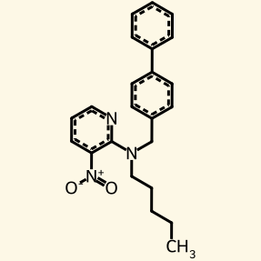 CCCCCN(Cc1ccc(-c2ccccc2)cc1)c1ncccc1[N+](=O)[O-]